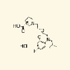 CC(C)CN(CCOCCN1CCC[C@@H](C(=O)O)C1)c1ccc(F)cc1Cl.Cl